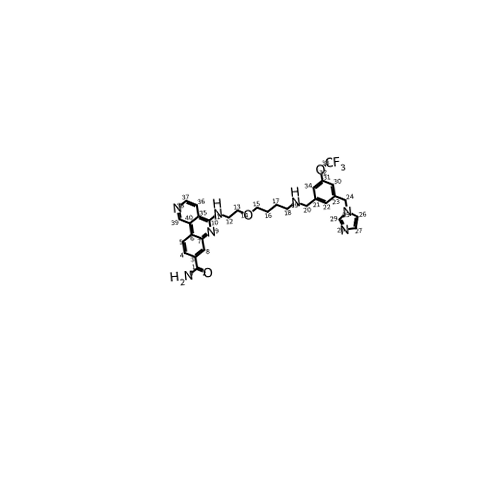 NC(=O)c1ccc2c(c1)nc(NCCOCCCCNCc1cc(Cn3ccnc3)cc(OC(F)(F)F)c1)c1ccncc12